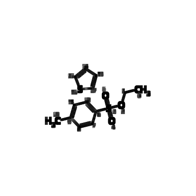 CCOS(=O)(=O)c1ccc(C)cc1.c1ccsc1